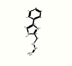 C=NOCc1nc(-c2ccccc2)cs1